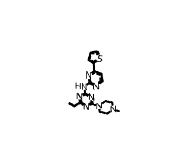 CCc1nc(Nc2nccc(-c3cccs3)n2)nc(N2CCN(C)CC2)n1